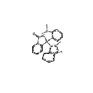 Cc1[nH]c2ccccc2c1C1(c2ccccc2N(C)C)OC(=O)c2ccccc21